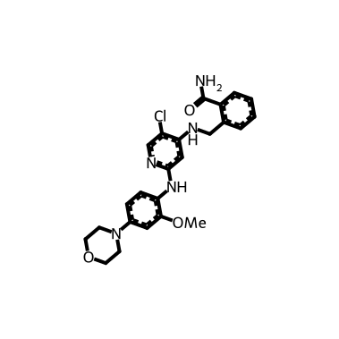 COc1cc(N2CCOCC2)ccc1Nc1cc(NCc2ccccc2C(N)=O)c(Cl)cn1